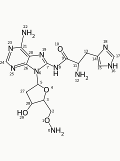 NOCC1OC(n2c(NC(=O)C(N)Cc3c[nH]cn3)nc3c(N)ncnc32)CC1O